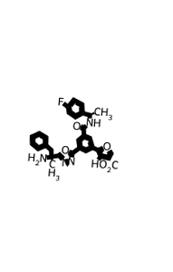 C[C@@H](NC(=O)c1cc(-c2nnc([C@](C)(N)Cc3ccccc3)o2)cc(-c2occc2C(=O)O)c1)c1ccc(F)cc1